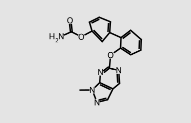 Cn1ncc2cnc(Oc3ccccc3-c3cccc(OC(N)=O)c3)nc21